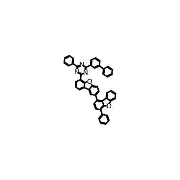 c1ccc(-c2cccc(-c3nc(-c4ccccc4)nc(-c4cccc5c4oc4ccc(-c6ccc(-c7ccccc7)c7oc8ccccc8c67)cc45)n3)c2)cc1